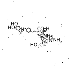 Cn1c[n+](Cc2ccc(/C=C/C3=C(C(=O)O)N4C(=O)[C@@H](NC(=O)/C(=N\OC(C)(C)C(=O)O)c5csc(N)n5)[C@H]4SC3)cc2)c2cc(O)c(O)cc21